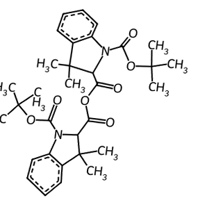 CC(C)(C)OC(=O)N1c2ccccc2C(C)(C)C1C(=O)OC(=O)C1N(C(=O)OC(C)(C)C)c2ccccc2C1(C)C